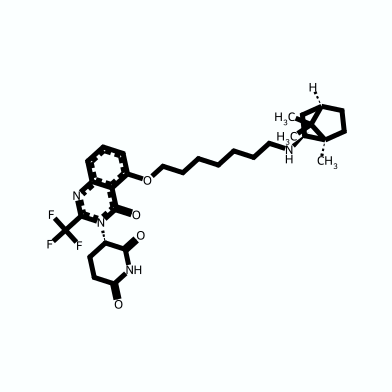 CC1(C)[C@@H]2CC[C@@]1(C)[C@@H](NCCCCCCCOc1cccc3nc(C(F)(F)F)n([C@H]4CCC(=O)NC4=O)c(=O)c13)C2